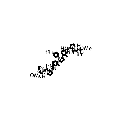 COC(=O)N[C@H](C(=O)N1CCC[C@H]1c1nc2c([nH]1)=CCC([C@H]1CC[C@H](c3ccc4[nH]c([C@@H]5CCCN5C(=O)[C@@H](NC(=O)OC)C(C)C)nc4c3C)N1c1ccc(C(C)(C)C)cc1)C=2C)C(C)C